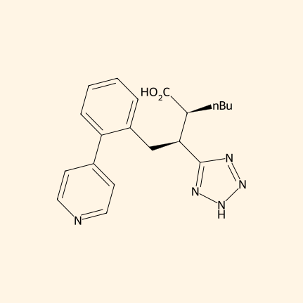 CCCC[C@H](C(=O)O)[C@H](Cc1ccccc1-c1ccncc1)c1nn[nH]n1